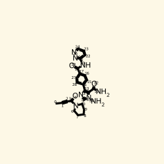 CC#CC(=O)N1CCCC[C@H]1c1nc(-c2ccc(C(=O)Nc3cccnn3)cc2)c(C(N)=O)n1N